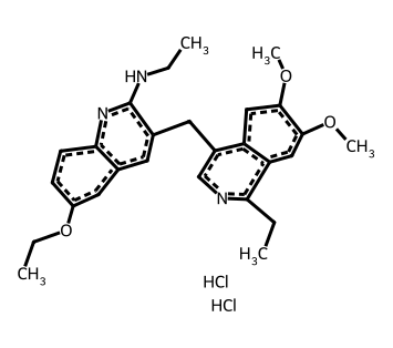 CCNc1nc2ccc(OCC)cc2cc1Cc1cnc(CC)c2cc(OC)c(OC)cc12.Cl.Cl